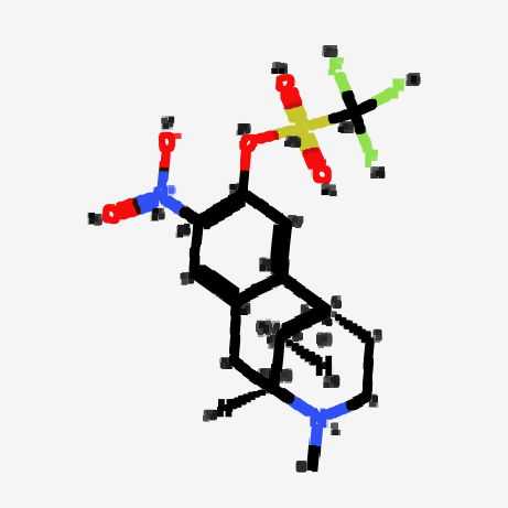 CN1CC[C@@]23CCCC[C@@H]2[C@@H]1Cc1cc([N+](=O)[O-])c(OS(=O)(=O)C(F)(F)F)cc13